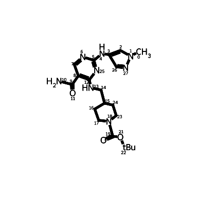 Cn1cc(Nc2ncc(C(N)=O)c(NCC3CCN(C(=O)OC(C)(C)C)CC3)n2)cn1